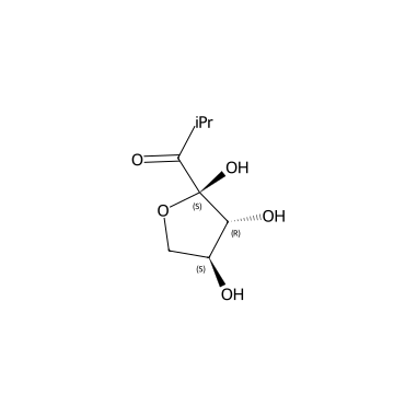 CC(C)C(=O)[C@@]1(O)OC[C@H](O)[C@H]1O